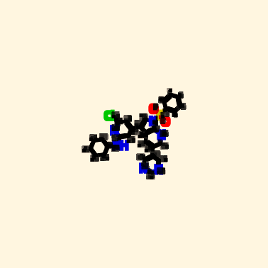 O=S(=O)(c1ccccc1)n1cc(-c2cc(Cl)nc(NC3CCCCC3)c2)c2cc(-c3cncnc3)cnc21